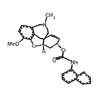 COc1ccc2c3c1O[C@H]1C[C@H](OC(=O)Nc4cccc5ccccc45)C=C[C@@]31CCN(C)C2